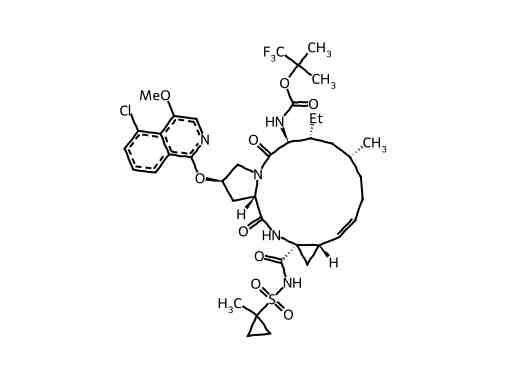 CC[C@@H]1C[C@H](C)CC/C=C\[C@@H]2C[C@@]2(C(=O)NS(=O)(=O)C2(C)CC2)NC(=O)[C@@H]2C[C@@H](Oc3ncc(OC)c4c(Cl)cccc34)CN2C(=O)[C@H]1NC(=O)OC(C)(C)C(F)(F)F